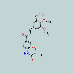 COc1cc(C=CC(=O)c2ccc3c(c2)OC(C)C(=O)N3)cc(OC)c1OC